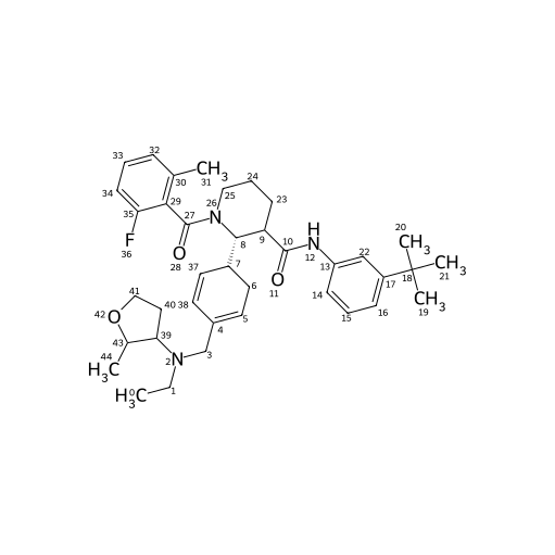 CCN(CC1=CCC([C@H]2C(C(=O)Nc3cccc(C(C)(C)C)c3)CCCN2C(=O)c2c(C)cccc2F)C=C1)C1CCOC1C